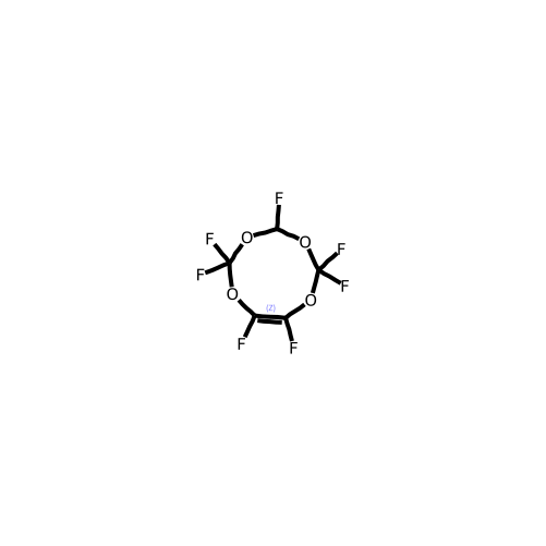 F/C1=C(\F)OC(F)(F)OC(F)OC(F)(F)O1